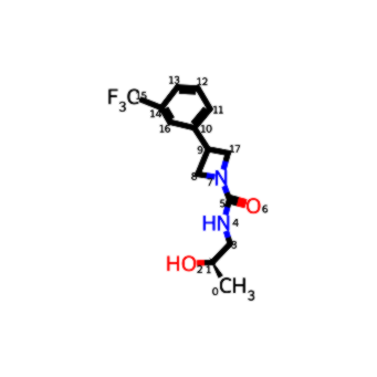 C[C@@H](O)CNC(=O)N1CC(c2cccc(C(F)(F)F)c2)C1